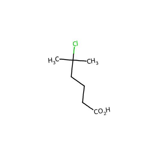 CC(C)(Cl)CCCC(=O)O